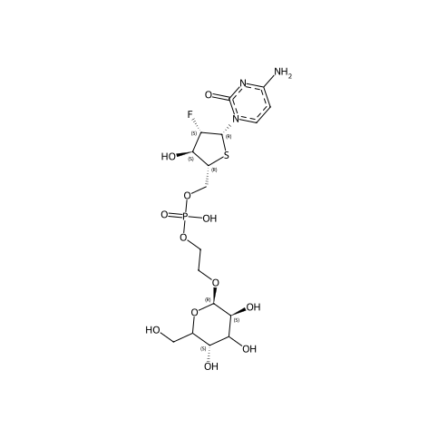 Nc1ccn([C@@H]2S[C@H](COP(=O)(O)OCCO[C@@H]3OC(CO)[C@@H](O)C(O)[C@@H]3O)[C@@H](O)[C@@H]2F)c(=O)n1